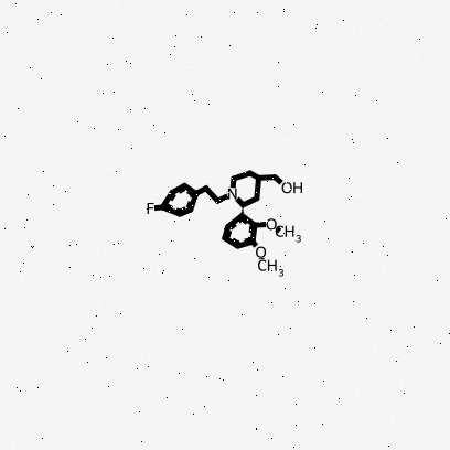 COc1cccc([C@H]2CC(CO)CCN2CCc2ccc(F)cc2)c1OC